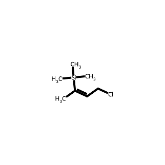 CC(=CCCl)[Si](C)(C)C